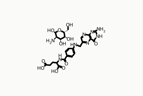 N[C@H]1C(O)O[C@H](CO)[C@H](O)[C@@H]1O.Nc1nc2ncc(CNc3ccc(C(=O)NC(CCC(=O)O)C(=O)O)cc3)nc2c(=O)[nH]1